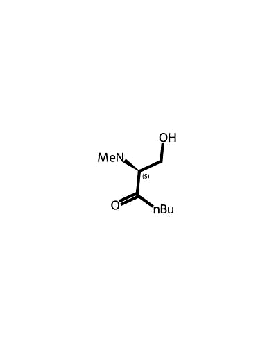 CCCCC(=O)[C@H](CO)NC